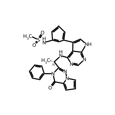 C[C@H](Nc1ncnc2[nH]cc(-c3c[c]cc(NS(C)(=O)=O)c3)c12)c1nn2cccc2c(=O)n1-c1ccccc1